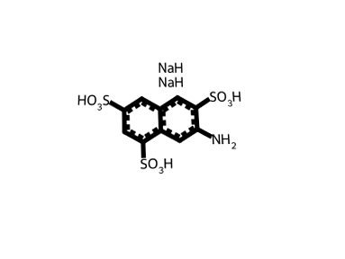 Nc1cc2c(S(=O)(=O)O)cc(S(=O)(=O)O)cc2cc1S(=O)(=O)O.[NaH].[NaH]